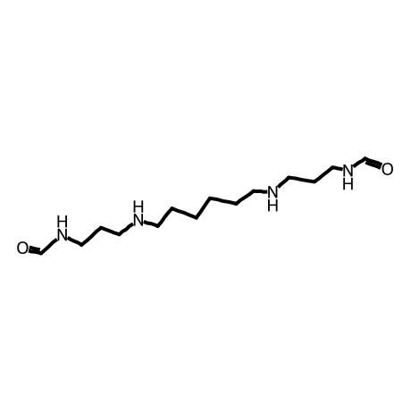 O=CNCCCNCCCCCCNCCCNC=O